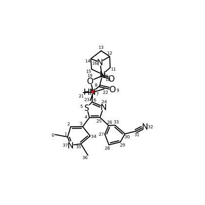 Cc1cc(-c2sc(NC(=O)N3CC4CC(C3)N4C(=O)OC(C)(C)C)nc2-c2cccc(C#N)c2)cc(C)n1